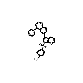 Cc1ccc(S(=O)(=O)n2cc(-c3ccc4nccc(-c5ccncc5)c4c3)c3cccnc32)cc1